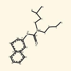 CCCCN(CCC(C)C)C(=O)Sc1ccc2ccccc2c1